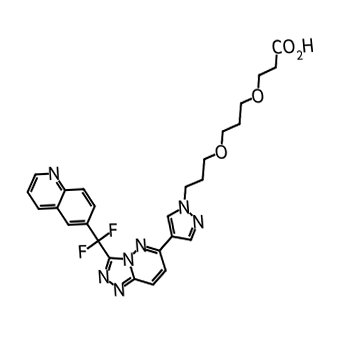 O=C(O)CCOCCCOCCCn1cc(-c2ccc3nnc(C(F)(F)c4ccc5ncccc5c4)n3n2)cn1